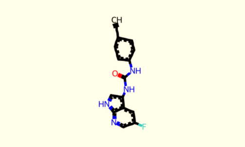 C#Cc1ccc(NC(=O)Nc2c[nH]c3ncc(F)cc23)cc1